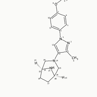 Cc1nn(-c2ccc(OC(F)(F)F)cc2)cc1N1C[C@H]2CC[C@@H](C1)N2